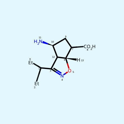 CCC(CC)C1=NO[C@H]2C(C(=O)O)C[C@H](N)C12